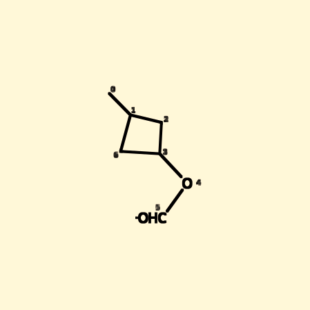 CC1CC(O[C]=O)C1